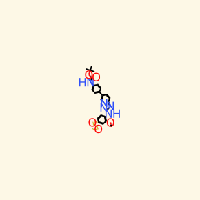 COc1cc(S(C)(=O)=O)ccc1Nc1nc2ccc(-c3ccc(NC(=O)OC(C)(C)C)cc3)cn2n1